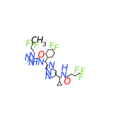 CC(F)(F)CCn1ncnc1C(=O)N[C@H](c1cn2ncc([C@H](NC(=O)CCC(F)(F)F)C3CC3)cc2n1)C1CCC(F)(F)CC1